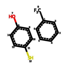 FC(F)(F)c1ccccc1.Oc1ccc(S)cc1